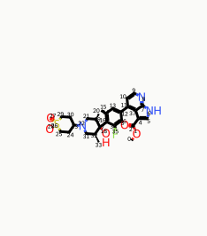 COC(=O)c1c[nH]c2nccc(-c3cc(C)c(C4(O)[C@H](C)CN(C5CCS(=O)(=O)CC5)C[C@@H]4C)c(F)c3)c12